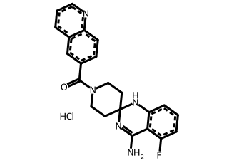 Cl.NC1=NC2(CCN(C(=O)c3ccc4ncccc4c3)CC2)Nc2cccc(F)c21